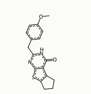 COc1ccc(Cc2nc3sc4c(c3c(=O)[nH]2)CCC4)cc1